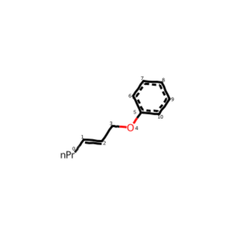 CCC/C=C/COc1[c]cccc1